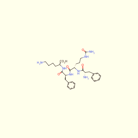 NCCCC[C@H](NC(=O)[C@H](Cc1ccccc1)NC(=O)[C@H](CCCNC(N)=O)NC(=O)[C@@H](N)Cc1ccccc1)C(=O)O